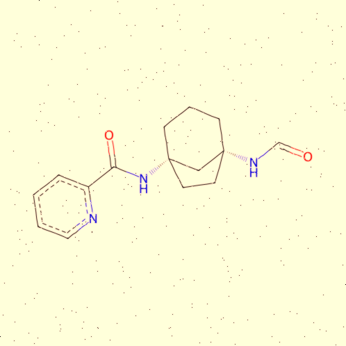 O=CN[C@]12CCC[C@](NC(=O)c3ccccn3)(CC1)C2